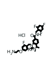 CC1c2ccc(C(=O)NCc3c(F)cc(F)cc3F)cc2N(Cc2c(F)cc(OCCN)cc2F)C(=O)N1C.Cl